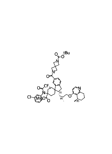 COC(=O)C1(N(C(=O)C(F)(F)F)c2cccc(Cl)c2)CCC2(CC1)c1cc(C(=O)N3CC4(CN(C(=O)OC(C)(C)C)C4)C3)ccc1C[C@@H]2C[C@@H](C)COc1ccnc2c1[C@H](C)CCC2